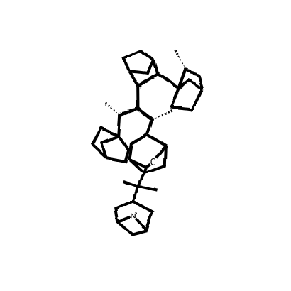 C[C@H](C1CC2CCC1CC2C(C)(C)C1CC2CC(C1)N2C)C(C1C2CCC(C2)C1C12CCC(C[C@H]1C)C2)[C@@H](C)C12CCC(CC1)C2